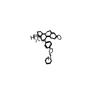 C[C@]12C[C@H](c3ccc(OCCN4CCCCC4)cc3)C3=C4CCC(=O)C=C4CCC3C1CC[C@H]2F